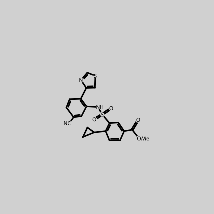 COC(=O)c1ccc(C2CC2)c(S(=O)(=O)Nc2cc(C#N)ccc2-c2cscn2)c1